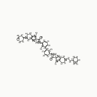 Cc1c(NC(=O)c2nc3c(n2C)CCN(CCC24CCC(CC2)C4)C3)cccc1-c1cccc(NC(=O)c2nc3c(n2C)CCN(C2CCOCC2)C3)c1C